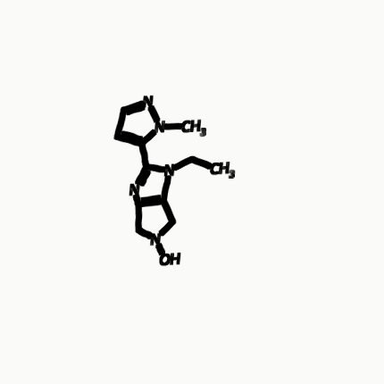 CCn1c(-c2ccnn2C)nc2c1CN(O)C2